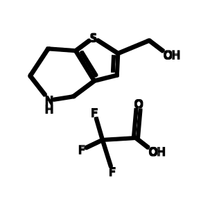 O=C(O)C(F)(F)F.OCc1cc2c(s1)CCNC2